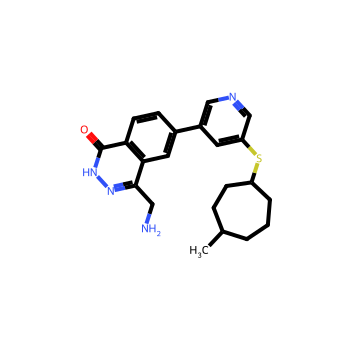 CC1CCCC(Sc2cncc(-c3ccc4c(=O)[nH]nc(CN)c4c3)c2)CC1